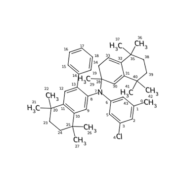 Cc1cc(Cl)cc(N(c2cc3c(cc2-c2ccccc2)C(C)(C)CCC3(C)C)C2(C)C=C3C(=CC2)C(C)(C)CCC3(C)C)c1